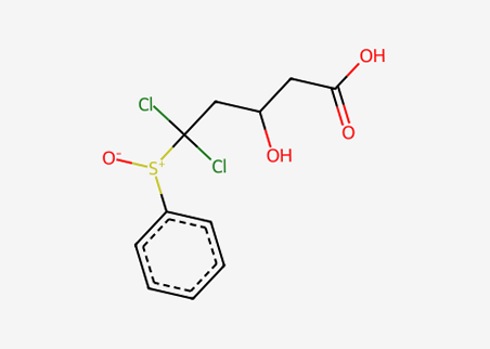 O=C(O)CC(O)CC(Cl)(Cl)[S+]([O-])c1ccccc1